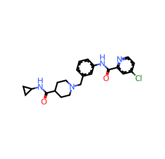 O=C(Nc1cccc(CN2CCC(C(=O)NC3CC3)CC2)c1)c1cc(Cl)ccn1